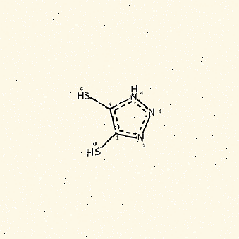 Sc1nn[nH]c1S